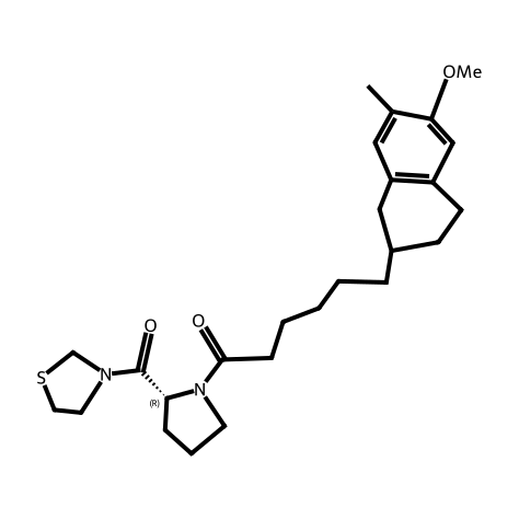 COc1cc2c(cc1C)CC(CCCCCC(=O)N1CCC[C@@H]1C(=O)N1CCSC1)CC2